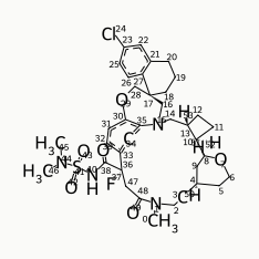 CN1CC[C@@H]2CCO[C@@H](C2)[C@@H]2CC[C@H]2CN2C[C@@]3(CCCc4cc(Cl)ccc43)COc3ccc(cc32)[C@](F)(C(=O)NS(=O)(=O)N(C)C)CC1=O